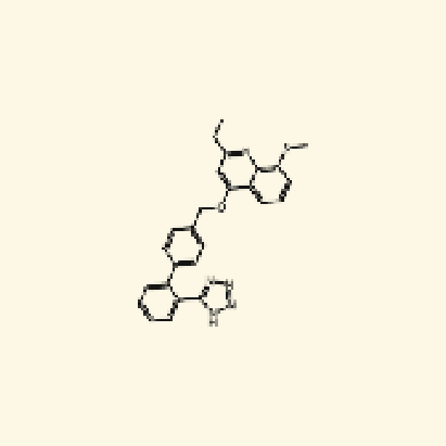 CCc1cc(OCc2ccc(-c3ccccc3-c3nnn[nH]3)cc2)c2cccc(SC)c2n1